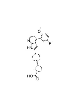 COc1ccc(F)cc1-c1ccnc2[nH]c(C3=CCN(C4CCC(C(=O)O)C4)CC3)cc12